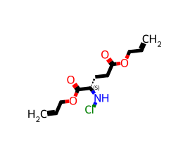 C=CCOC(=O)CC[C@H](NCl)C(=O)OCC=C